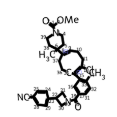 COC(=O)N1CCC(C)(/C2=C/CC/C(Cl)=C(/c3cc(C(=O)N4CC(c5ccc(C#N)cc5)C4)ccc3C)CCC2)CC1